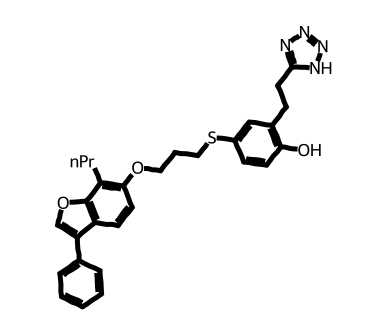 CCCc1c(OCCCSc2ccc(O)c(CCc3nnn[nH]3)c2)ccc2c(-c3ccccc3)coc12